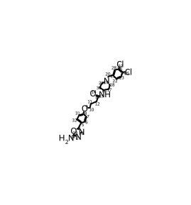 Nc1nnc(-c2ccc(OCCCC(=O)NC3CCN(Cc4ccc(Cl)c(Cl)c4)CC3)cc2)o1